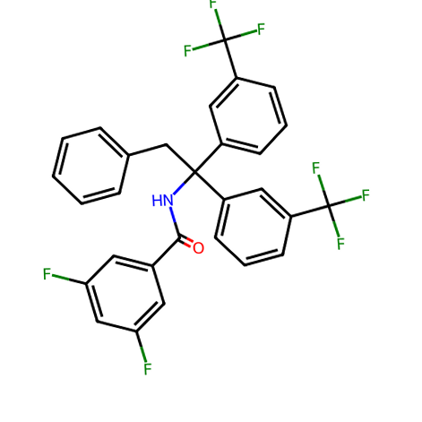 O=C(NC(Cc1ccccc1)(c1cccc(C(F)(F)F)c1)c1cccc(C(F)(F)F)c1)c1cc(F)cc(F)c1